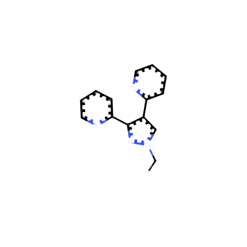 CCOC(=O)Cn1cc(-c2ccccn2)c(-c2ccccn2)n1